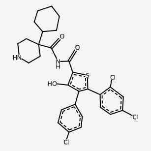 O=C(NC(=O)C1(C2CCCCC2)CCNCC1)c1sc(-c2ccc(Cl)cc2Cl)c(-c2ccc(Cl)cc2)c1O